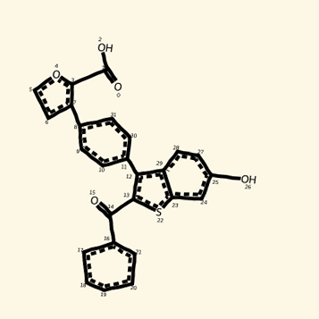 O=C(O)c1occc1-c1ccc(-c2c(C(=O)c3ccccc3)sc3cc(O)ccc23)cc1